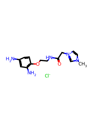 Cn1cc[n+](CC(=O)NCCOc2ccc(N)cc2N)c1.[Cl-]